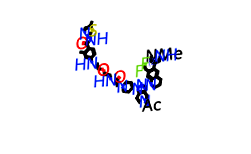 CN/C=C(\C=N)c1cc2c(cc1C(F)F)N(c1nn(C3CCN(CC(=O)NCCOCCNc4ccc(C(=O)Nc5ncc(C)s5)c(C)c4)CC3)c3c1CN(C(C)=O)CC3)CCC2